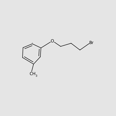 Cc1cc[c]c(OCCCBr)c1